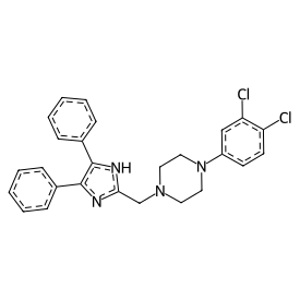 Clc1ccc(N2CCN(Cc3nc(-c4ccccc4)c(-c4ccccc4)[nH]3)CC2)cc1Cl